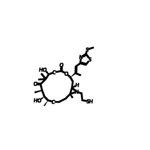 CSc1nc(/C=C(\C)[C@@H]2C[C@@H]3N(CCS)[C@]3(C)CCC[C@H](C)[C@H](O)[C@@H](C)C(=O)C(C)(C)[C@@H](O)CC(=O)O2)cs1